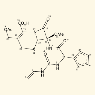 C=CNC(=O)NC(C(=O)N[C@@]1(OC)C(=O)N2C(C(=O)O)=C(COC(C)=O)CSC21)c1cccs1